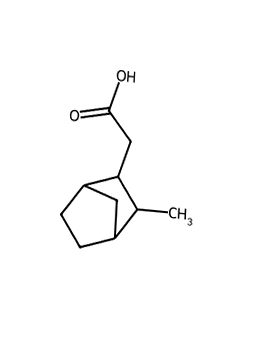 CC1C2CCC(C2)C1CC(=O)O